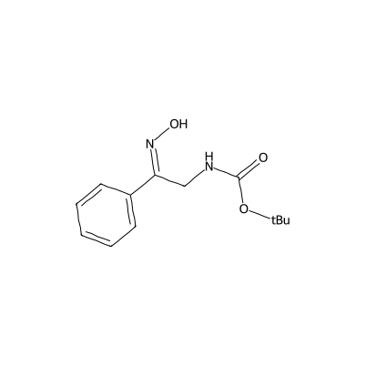 CC(C)(C)OC(=O)NCC(=NO)c1ccccc1